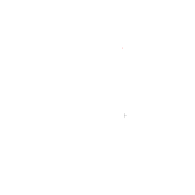 CCc1c2ccocc-2cc1-c1ccccc1